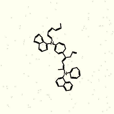 C=CC/C(=C\C=C(/C)N(C1=CCC=CC=C1)c1cccc2ccccc12)C1=CC=C(N(/C=C/C=C\C=C/C)c2cccc3ccccc23)C=CC1